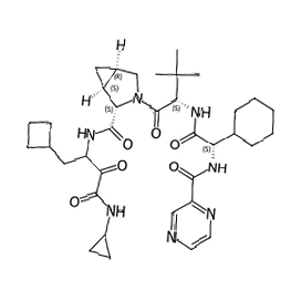 CC(C)(C)[C@H](NC(=O)[C@@H](NC(=O)c1cnccn1)C1CCCCC1)C(=O)N1C[C@@H]2C[C@@H]2[C@H]1C(=O)NC(CC1CCC1)C(=O)C(=O)NC1CC1